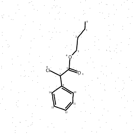 CCCCOC(=O)C(Cl)c1ccccc1